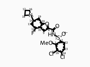 COc1c([S+]([O-])NC(=O)c2cc3c(F)cc(N4CCC4)cc3o2)ccc(Cl)c1Cl